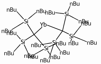 CCCC[Si](CCCC)(CCCC)[C]([Yb][C]([Si](CCCC)(CCCC)CCCC)([Si](CCCC)(CCCC)CCCC)[Si](CCCC)(CCCC)CCCC)([Si](CCCC)(CCCC)CCCC)[Si](CCCC)(CCCC)CCCC